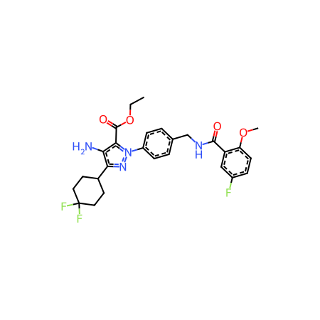 CCOC(=O)c1c(N)c(C2CCC(F)(F)CC2)nn1-c1ccc(CNC(=O)c2cc(F)ccc2OC)cc1